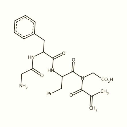 C=C(C)C(=O)N(CC(=O)O)C(=O)C(CC(C)C)NC(=O)C(Cc1ccccc1)NC(=O)CN